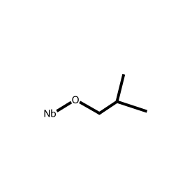 CC(C)C[O][Nb]